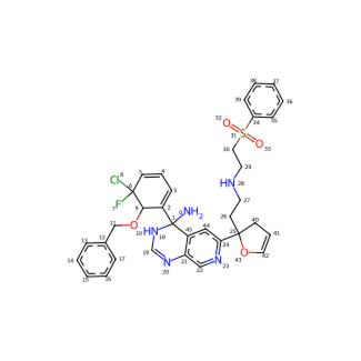 NC1(C2=CC=CC(F)(Cl)C2OCc2ccccc2)NC=Nc2cnc(C3(CCNCCS(=O)(=O)c4ccccc4)CC=CO3)cc21